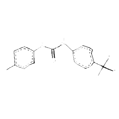 Cc1ccc(NC(=O)Nc2ccc(C(F)(F)F)cc2)cc1